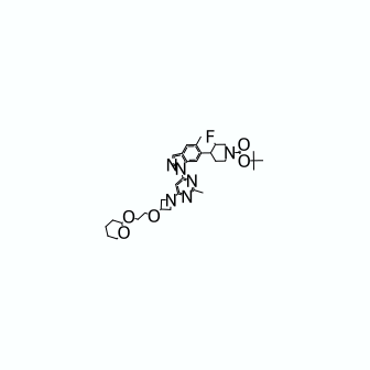 Cc1nc(N2CC(OCCOC3CCCCO3)C2)cc(-n2ncc3cc(C)c(C4CCN(C(=O)OC(C)(C)C)CC4F)cc32)n1